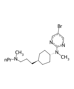 CCCN(C)CCC[C@H]1CC[C@H](N(C)c2ncc(Br)cn2)CC1